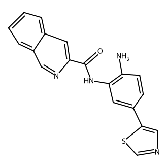 Nc1ccc(-c2cncs2)cc1NC(=O)c1cc2ccccc2cn1